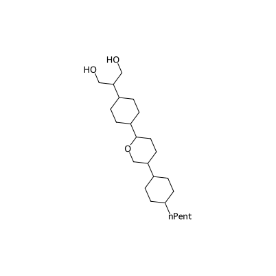 CCCCCC1CCC(C2CCC(C3CCC(C(CO)CO)CC3)OC2)CC1